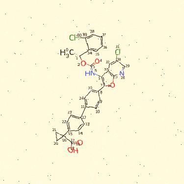 C[C@@H](OC(=O)Nc1c(-c2ccc(-c3ccc(C4(C(=O)O)CC4)cc3)cc2)oc2ncc(Cl)cc12)c1ccccc1Cl